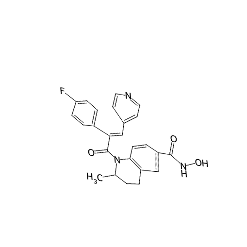 CC1CCc2cc(C(=O)NO)ccc2N1C(=O)C(=Cc1ccncc1)c1ccc(F)cc1